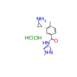 Cc1ccc(C(=O)Nc2cnn(C)c2)cc1[C@@H]1C[C@H]1N.Cl.Cl